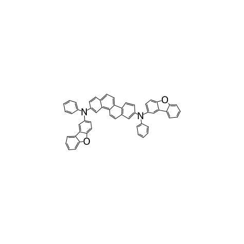 c1ccc(N(c2ccc3c(ccc4c5cc(N(c6ccccc6)c6ccc7oc8ccccc8c7c6)ccc5ccc34)c2)c2ccc3oc4ccccc4c3c2)cc1